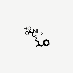 CC(=Cc1ccccc1)CCSC[C@H](N)C(=O)O